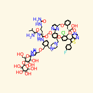 COc1ccccc1-c1nccc(COc2ccccc2C[C@@H](Oc2ncnc3sc(-c4ccc(F)cc4)c(-c4ccc(OCCN5CC[N+](C)(Cc6ccc(NC(=O)[C@H](CCCNC(N)=O)NC(=O)[C@@H](N)C(C)C)cc6COCc6cn([C@@H]7O[C@H](CO)[C@@H](O[C@@H]8O[C@H](CO)[C@H](O)[C@H](O)[C@H]8O)[C@H](O)[C@H]7O)nn6)CC5)c(Cl)c4C)c23)C(=O)O)n1